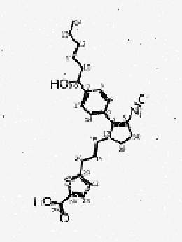 [C-]#[N+]C1=C(c2ccc(C(O)CCCCC)cc2)C(CCCc2ccc(C(=O)O)s2)CC1